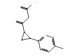 COC(=O)CC(=O)C1CC1c1ccc(C)cn1